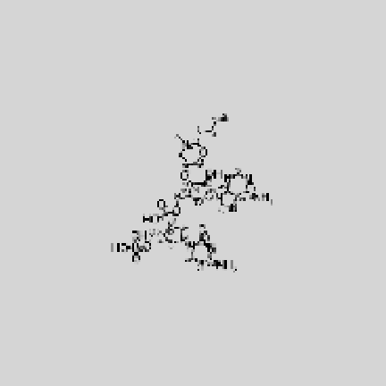 C=CCCC(=O)N(C)CC(=O)O[C@@H]1C(COP(=O)(O)[C@H]2C[C@H](n3ccc(N)nc3=O)O[C@@H]2COP(=O)(O)O)O[C@@H](n2cnc3c(N)ncnc32)[C@@H]1O